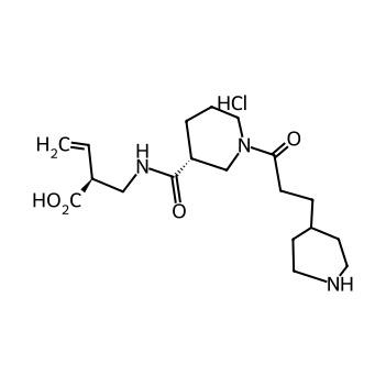 C=C[C@@H](CNC(=O)[C@@H]1CCCN(C(=O)CCC2CCNCC2)C1)C(=O)O.Cl